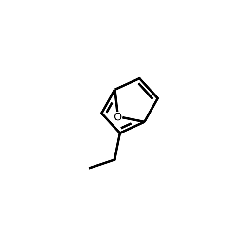 CCc1cc2ccc1o2